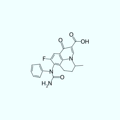 CC1CCc2c(N(C(N)=O)c3ccccc3)c(F)cc3c(=O)c(C(=O)O)cn1c23